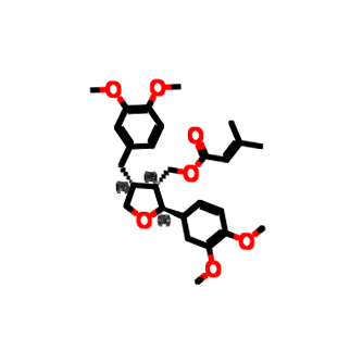 COC1=C(OC)CC([C@H]2OC[C@H](Cc3ccc(OC)c(OC)c3)[C@@H]2COC(=O)C=C(C)C)C=C1